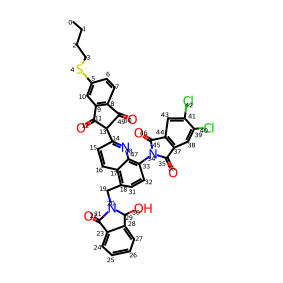 CCCCSc1ccc2c(c1)C(=O)C(c1ccc3c(CN4C(=O)c5ccccc5C4O)ccc(N4C(=O)c5cc(Cl)c(Cl)cc5C4=O)c3n1)C2=O